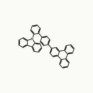 c1ccc(-n2c3ccccc3c3ccccc32)c(-c2ccc(-c3ccc4c5ccccc5c5ccccc5c4c3)cc2)c1